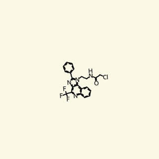 O=C(CCl)NCCn1c(-c2ccccc2)nc2c(C(F)(F)F)nc3ccccc3c21